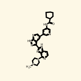 CN1CCN(c2nccc3[nH]c(-c4n[nH]c5ncc(-c6cncc(NC(=O)C7CCCCC7)c6)cc45)nc23)CC1